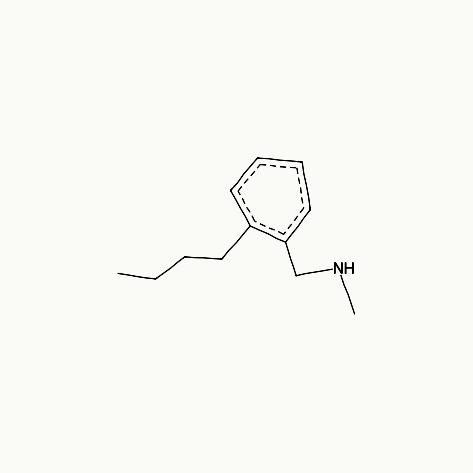 CCCCc1ccccc1CNC